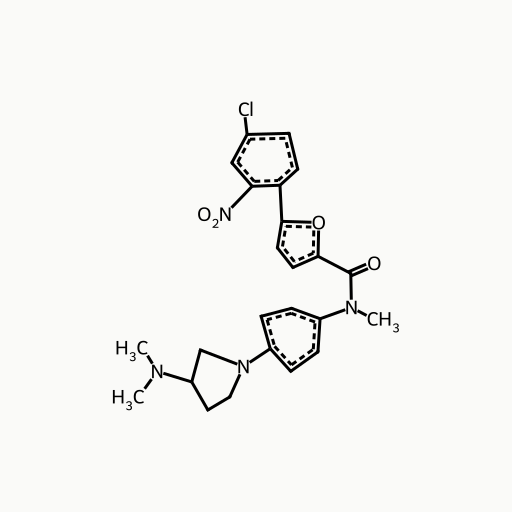 CN(C(=O)c1ccc(-c2ccc(Cl)cc2[N+](=O)[O-])o1)c1ccc(N2CCC(N(C)C)C2)cc1